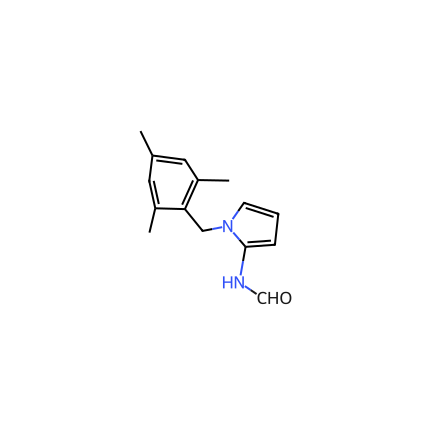 Cc1cc(C)c(Cn2cccc2NC=O)c(C)c1